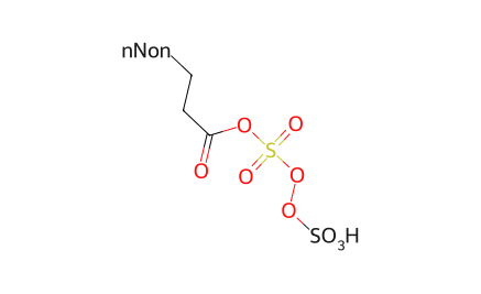 CCCCCCCCCCCC(=O)OS(=O)(=O)OOS(=O)(=O)O